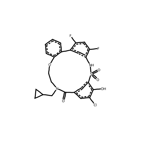 O=C1c2cc(Cl)c(O)c(c2)S(=O)(=O)Nc2cc(c(F)cc2F)-c2ccccc2OCCN1CC1CC1